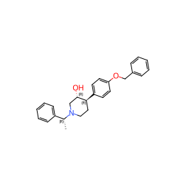 C[C@H](c1ccccc1)N1CC[C@H](c2ccc(OCc3ccccc3)cc2)[C@@H](O)C1